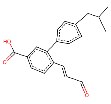 CC(C)Cc1ccc(-c2cc(C(=O)O)ccc2C=CC=O)cc1